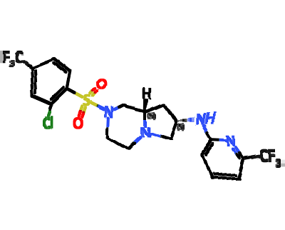 O=S(=O)(c1ccc(C(F)(F)F)cc1Cl)N1CCN2C[C@@H](Nc3cccc(C(F)(F)F)n3)C[C@H]2C1